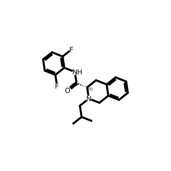 C[C](C)CN1Cc2ccccc2C[C@H]1C(=O)Nc1c(F)cccc1F